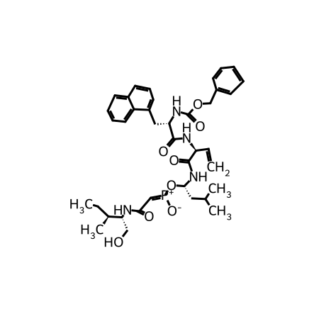 C=C[C@H](NC(=O)[C@H](Cc1cccc2ccccc12)NC(=O)OCc1ccccc1)C(=O)N[C@H](CC(C)C)O/[P+]([O-])=C/C(=O)N[C@H](CO)[C@@H](C)CC